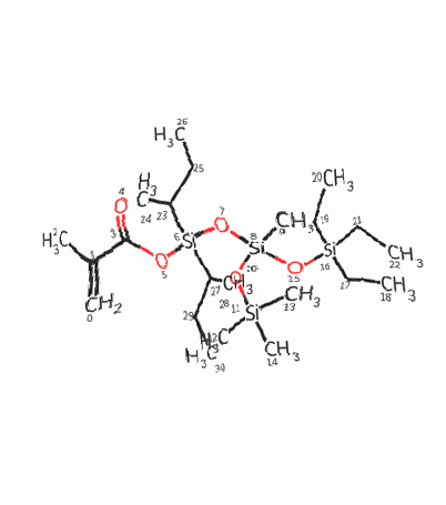 C=C(C)C(=O)O[Si](O[Si](C)(O[Si](C)(C)C)O[Si](CC)(CC)CC)(C(C)CC)C(C)CC